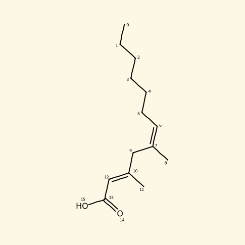 CCCCCC/C=C(/C)C/C(C)=C/C(=O)O